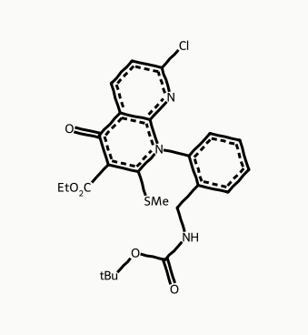 CCOC(=O)c1c(SC)n(-c2ccccc2CNC(=O)OC(C)(C)C)c2nc(Cl)ccc2c1=O